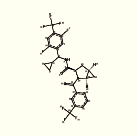 O=C(NC(c1cc(F)c(C(F)(F)F)cc1F)C1CC1)[C@H]1C[C@H]2C[C@H]2N1C(=O)c1cc(C(F)(F)F)ccn1